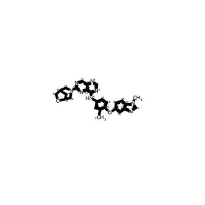 Cc1cc(Nc2ncnc3cnc(N4CC5COC(C5)C4)nc23)ccc1Oc1ccc2c(c1)ncn2C